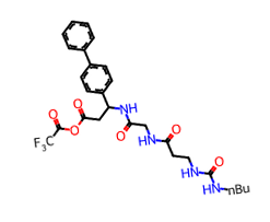 CCCCNC(=O)NCCC(=O)NCC(=O)NC(CC(=O)OC(=O)C(F)(F)F)c1ccc(-c2ccccc2)cc1